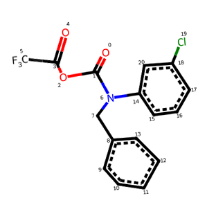 O=C(OC(=O)C(F)(F)F)N(Cc1ccccc1)c1cccc(Cl)c1